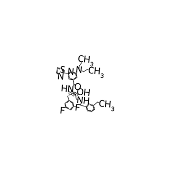 CCCN(CCC)c1cc(C(=O)N[C@@H](Cc2cc(F)cc(F)c2)[C@H](O)CNCc2cccc(CC)c2)cc(-c2nccs2)n1